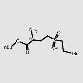 CCCCOC(=O)[C@@H](N)CCS(=N)(=O)CCC(C)(C)C